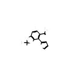 Cl.NC(=O)c1ccc2c(c1-c1ccco1)OC(F)(F)O2